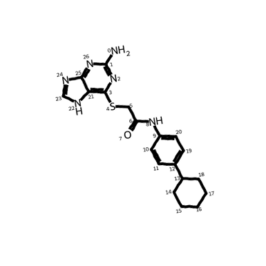 Nc1nc(SCC(=O)Nc2ccc(C3CCCCC3)cc2)c2[nH]cnc2n1